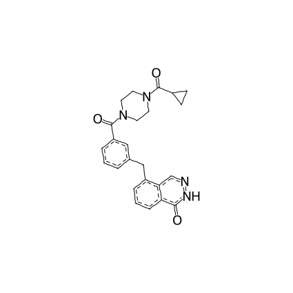 O=C(c1cccc(Cc2cccc3c(=O)[nH]ncc23)c1)N1CCN(C(=O)C2CC2)CC1